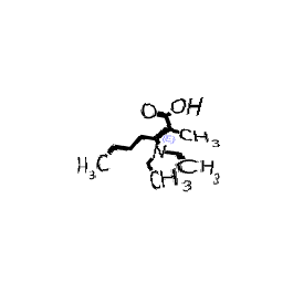 CCCC/C(=C(/C)C(=O)O)N(CC)CC